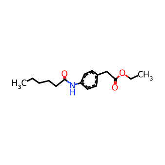 CCCCCC(=O)Nc1ccc(CC(=O)OCC)cc1